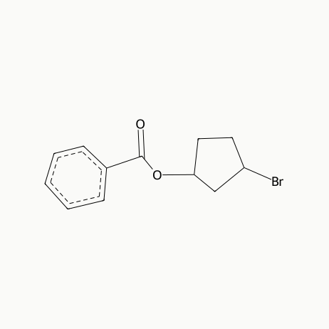 O=C(OC1CCC(Br)C1)c1ccccc1